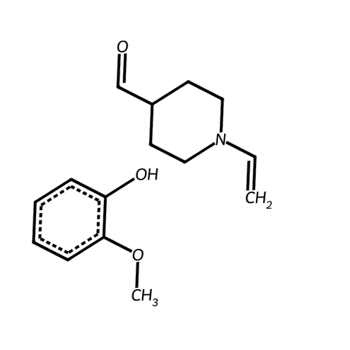 C=CN1CCC(C=O)CC1.COc1ccccc1O